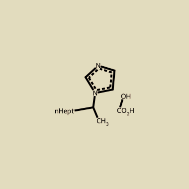 CCCCCCCC(C)n1ccnc1.O=C(O)O